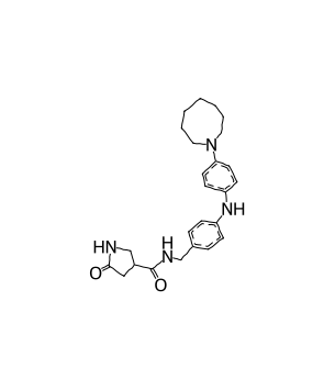 O=C1CC(C(=O)NCc2ccc(Nc3ccc(N4CCCCCCC4)cc3)cc2)CN1